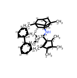 CC1=C(C)C(C)[C]([Ti]([NH]C23CC4CC(C)(CC(C)(C4)C2)C3)[GeH]([CH3])[CH3])=C1C.c1ccc(-c2ccccc2)cc1